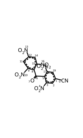 N#Cc1cc([N+](=O)[O-])c(C(=O)c2c([N+](=O)[O-])cc([N+](=O)[O-])cc2[N+](=O)[O-])c([N+](=O)[O-])c1